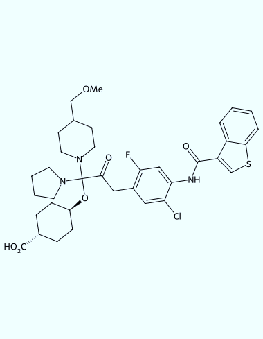 COCC1CCN(C(O[C@H]2CC[C@H](C(=O)O)CC2)(C(=O)Cc2cc(Cl)c(NC(=O)c3csc4ccccc34)cc2F)N2CCCC2)CC1